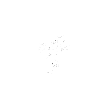 O=C(c1cnc(C2CC2)o1)N1CCc2[nH]cnc2[C@@H]1c1cc2c(C(F)(F)F)cccn2n1